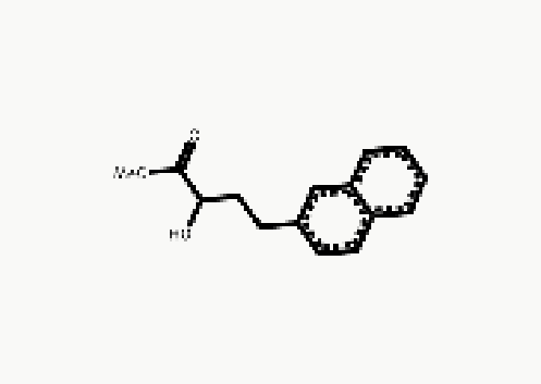 COC(=O)C(O)CCc1ccc2ccccc2c1